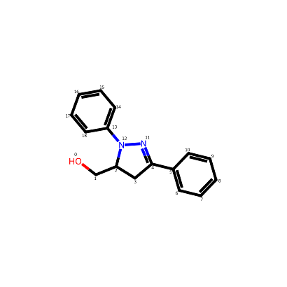 OCC1CC(c2ccccc2)=NN1c1ccccc1